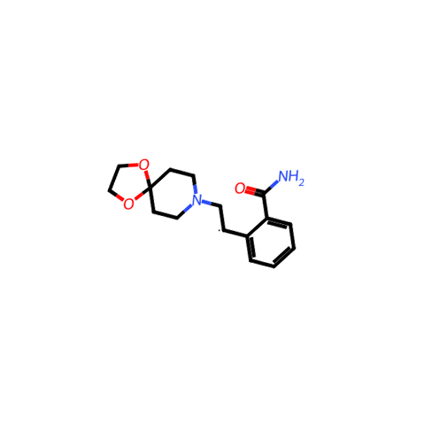 NC(=O)c1ccccc1[CH]CN1CCC2(CC1)OCCO2